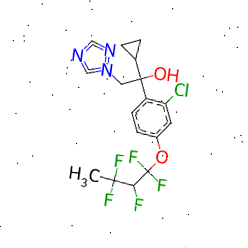 CC(F)(F)C(F)C(F)(F)Oc1ccc(C(O)(Cn2cncn2)C2CC2)c(Cl)c1